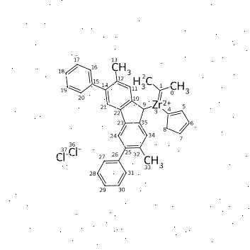 C[C](C)=[Zr+2]([C]1=CC=CC1)[CH]1c2cc(C)c(-c3ccccc3)cc2-c2cc(-c3ccccc3)c(C)cc21.[Cl-].[Cl-]